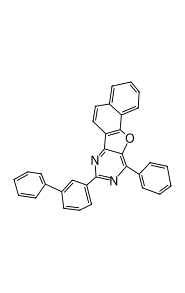 c1ccc(-c2cccc(-c3nc(-c4ccccc4)c4oc5c6ccccc6ccc5c4n3)c2)cc1